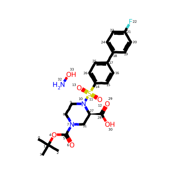 CC(C)(C)OC(=O)N1CCN(S(=O)(=O)c2ccc(-c3ccc(F)cc3)cc2)[C@@H](C(=O)O)C1.NO